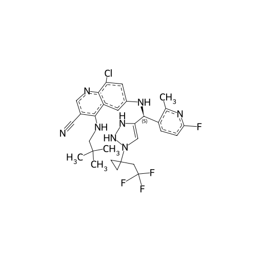 Cc1nc(F)ccc1[C@H](Nc1cc(Cl)c2ncc(C#N)c(NCC(C)(C)C)c2c1)C1=CN(C2(CC(F)(F)F)CC2)NN1